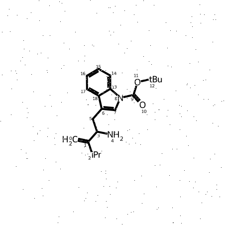 C=C(C(C)C)C(N)Cc1cn(C(=O)OC(C)(C)C)c2ccccc12